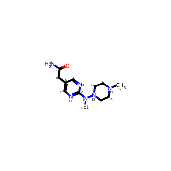 CCN(c1ncc(CC(N)=O)cn1)N1CCN(C)CC1